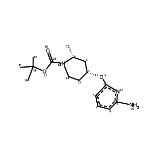 C[C@@H]1C[C@H](Oc2cccc(N)n2)CCN1C(=O)OC(C)(C)C